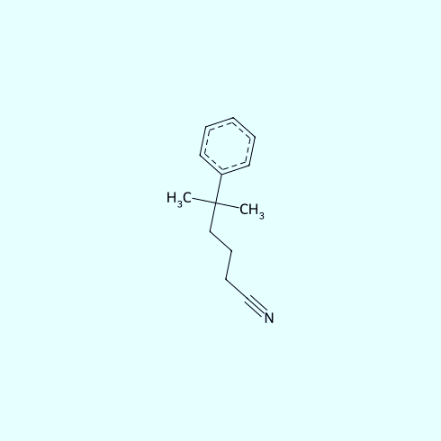 CC(C)(CCCC#N)c1ccccc1